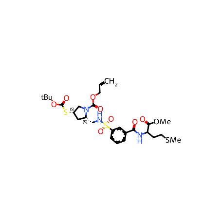 C=CCOC(=O)N1C[C@@H](SC(=O)OC(C)(C)C)C[C@H]1CNS(=O)(=O)c1cccc(C(=O)NC(CCSC)C(=O)OC)c1